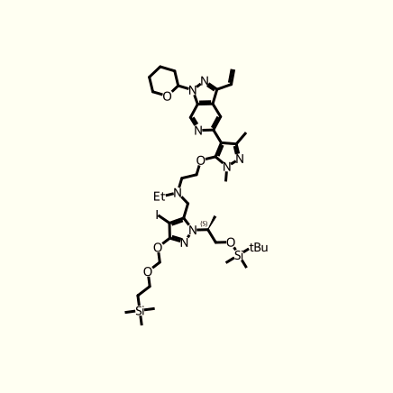 C=Cc1nn(C2CCCCO2)c2cnc(-c3c(C)nn(C)c3OCCN(CC)Cc3c(I)c(OCOCC[Si](C)(C)C)nn3[C@@H](C)CO[Si](C)(C)C(C)(C)C)cc12